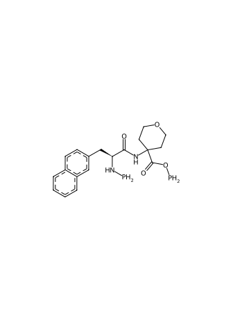 O=C(NC1(C(=O)OP)CCOCC1)[C@H](Cc1ccc2ccccc2c1)NP